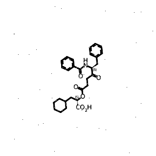 O=C(CCC(=O)[C@H](Cc1ccccc1)NC(=O)c1ccccc1)O[C@@H](CC1CCCCC1)C(=O)O